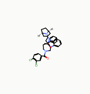 Cc1nc2ccccc2n1[C@H]1C[C@H]2CC[C@@H](C1)N2CCC1(c2ccccc2)CCN(C(=O)c2ccc(Cl)c(Cl)c2)CC1